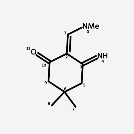 CN/C=C1\C(=N)CC(C)(C)CC1=O